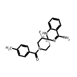 Cc1ccc(C(=O)N2CC[C@]3(N=C(N)c4ccccc4N3)[C@@H](F)C2)cc1